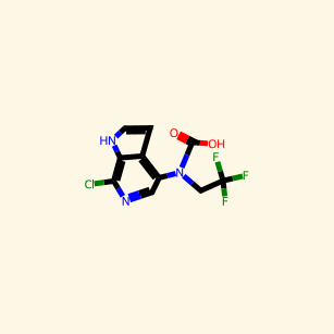 O=C(O)N(CC(F)(F)F)c1cnc(Cl)c2[nH]ccc12